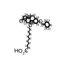 C[C@]12C[C@H](OCCCCCCCCCCC(=O)O)[C@@H]3c4ccc(OCc5ccccc5)cc4CC[C@H]3[C@@H]1CCC2=O